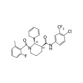 Cc1cccc(F)c1C(=O)N1CCC[C@H](C(=O)Nc2ccc(Cl)c(C(F)(F)F)c2)[C@@H]1C1C=CC=CC1